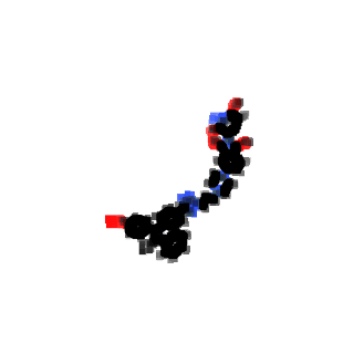 CC/C(=C(\c1ccc(O)cc1)c1ccc(-c2nnn(CCCN3CCN(c4ccc5c(c4)C(=O)N(C4CCC(=O)NC4=O)C5=O)CC3)n2)cc1)c1ccccc1